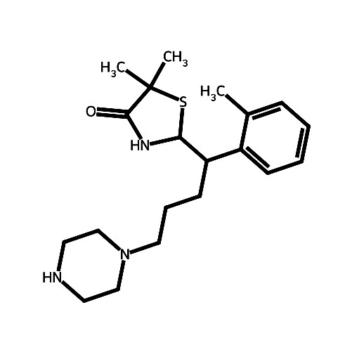 Cc1ccccc1C(CCCN1CCNCC1)C1NC(=O)C(C)(C)S1